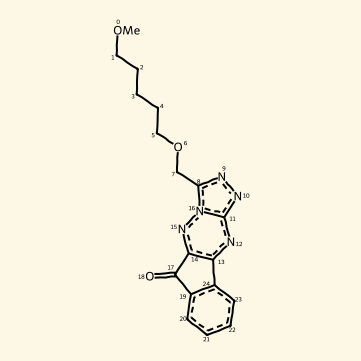 COCCCCCOCc1nnc2nc3c(nn12)C(=O)c1ccccc1-3